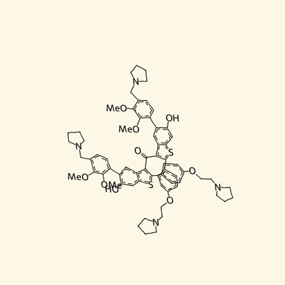 COc1c(CN2CCCC2)ccc(-c2cc3c(C(=O)c4c(-c5ccc(OCCN6CCCC6)cc5)sc5cc(O)c(-c6ccc(CN7CCCC7)c(OC)c6OC)cc45)c(-c4ccc(OCCN5CCCC5)cc4)sc3cc2O)c1OC